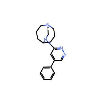 c1ccc(-c2cnnc(N3CCN4CCCC3CCC4)c2)cc1